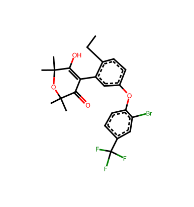 CCc1ccc(Oc2ccc(C(F)(F)F)cc2Br)cc1C1=C(O)C(C)(C)OC(C)(C)C1=O